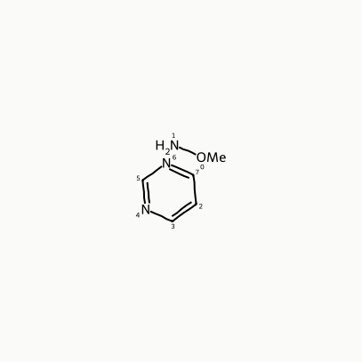 CON.c1cncnc1